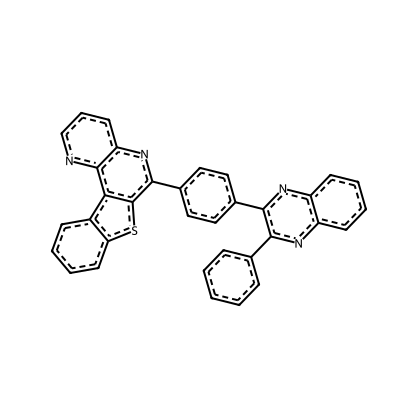 c1ccc(-c2nc3ccccc3nc2-c2ccc(-c3nc4cccnc4c4c3sc3ccccc34)cc2)cc1